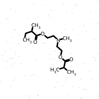 CCC(C)C(=O)OCCN(C)CCOC(=O)C(C)C